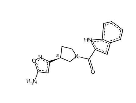 Nc1cc([C@H]2CCN(C(=O)c3cc4ccccc4[nH]3)C2)no1